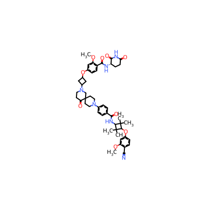 COc1cc(OC2C(C)(C)C(NC(=O)c3ccc(N4CCC5(CC4)CN(C4CC(Oc6ccc(C(=O)N[C@H]7CCC(=O)NC7=O)c(OC)c6)C4)CCC5=O)cc3)C2(C)C)ccc1C#N